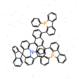 c1ccc(-p2c3ccccc3c3cccc(-c4cccc5c(-c6cccc7c6-n6c8ccccc8c8cccc(c86)C76c7ccccc7-c7ccccc76)c6cccc(-c7cccc8c9ccccc9p(-c9ccccc9)c78)c6cc45)c32)cc1